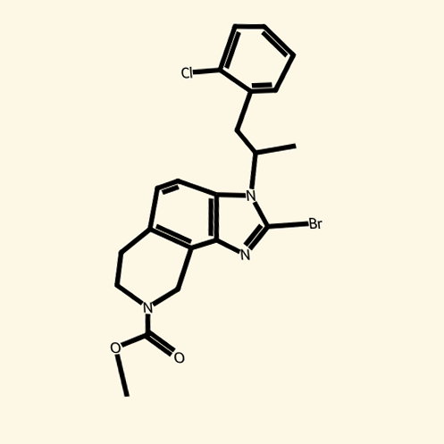 COC(=O)N1CCc2ccc3c(nc(Br)n3C(C)Cc3ccccc3Cl)c2C1